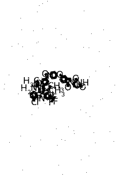 COc1cc(C(=O)N2CCC(Oc3ccc4c(c3)CN(C3CCC(=O)NC3=O)C4=O)CC2)ccc1N1[C@@H](CC(C)(C)C)[C@@]2(CNc3cc(C(F)(F)F)ncc32)[C@@H](c2cccc(Cl)c2F)[C@@H]1C(N)=O